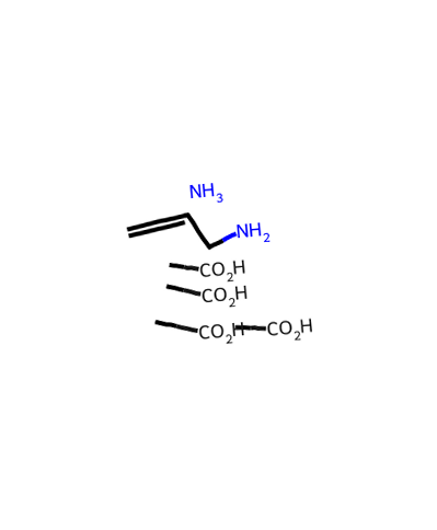 C=CCN.CC(=O)O.CC(=O)O.CC(=O)O.CC(=O)O.N